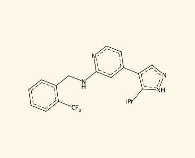 CC(C)c1[nH]ncc1-c1ccnc(NCc2ccccc2C(F)(F)F)c1